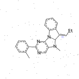 CC/C=C1\c2ccccc2N2c3nc(-c4ccccc4C)ncc3N(C)C12